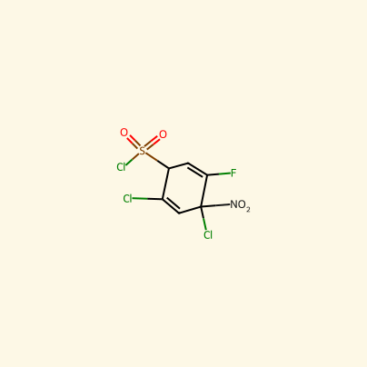 O=[N+]([O-])C1(Cl)C=C(Cl)C(S(=O)(=O)Cl)C=C1F